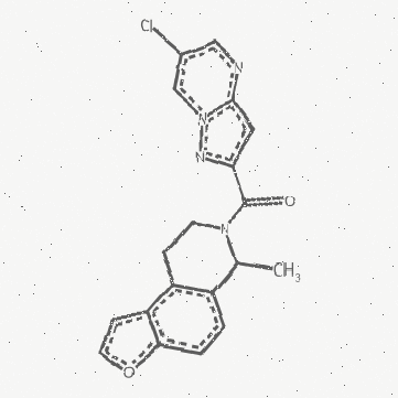 CC1c2ccc3occc3c2CCN1C(=O)c1cc2ncc(Cl)cn2n1